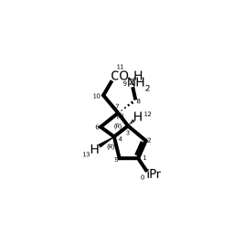 CC(C)C1=C[C@H]2[C@H](C1)C[C@@]2(CN)CC(=O)O